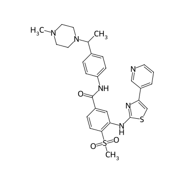 CC(c1ccc(NC(=O)c2ccc(S(C)(=O)=O)c(Nc3nc(-c4cccnc4)cs3)c2)cc1)N1CCN(C)CC1